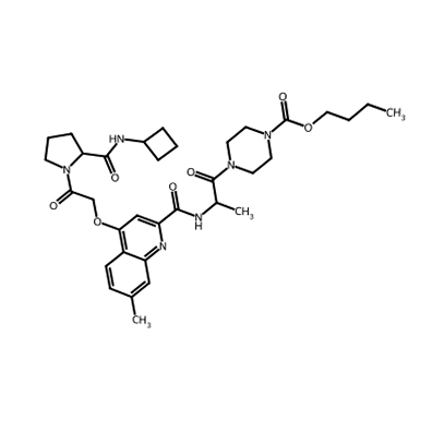 CCCCOC(=O)N1CCN(C(=O)C(C)NC(=O)c2cc(OCC(=O)N3CCCC3C(=O)NC3CCC3)c3ccc(C)cc3n2)CC1